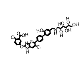 O=C(O)c1cc(Oc2nc3nc(-c4ccc(-c5ccc(CNC[C@H](O)[C@@H](O)[C@H](O)[C@H](O)CO)cc5O)cc4)c(Cl)cc3[nH]2)ccc1Cl